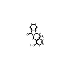 O=C1c2ccccc2C(=O)N1Cc1c(O)cccc1[N+](=O)[O-]